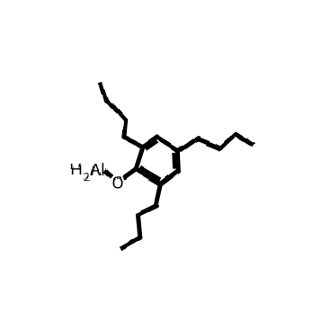 CCCCc1cc(CCCC)c([O][AlH2])c(CCCC)c1